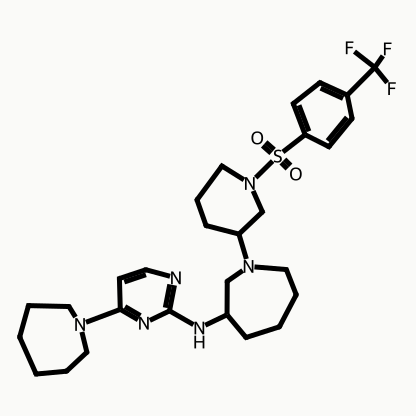 O=S(=O)(c1ccc(C(F)(F)F)cc1)N1CCCC(N2CCCCC(Nc3nccc(N4CCCCCC4)n3)C2)C1